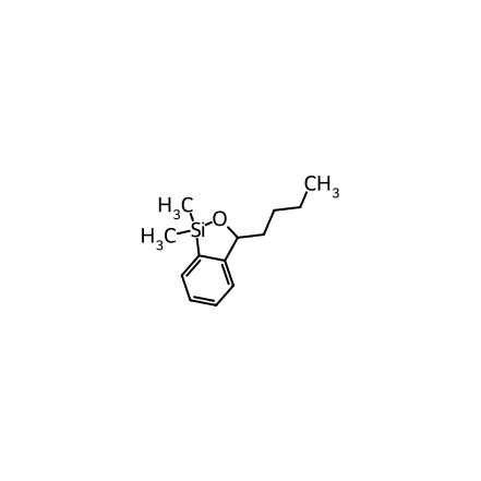 CCCCC1O[Si](C)(C)c2ccccc21